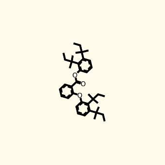 CCC(C)(C)c1cccc(OC(=O)c2ccccc2Oc2cccc(C(C)(C)CC)c2C(C)(C)CC)c1C(C)(C)CC